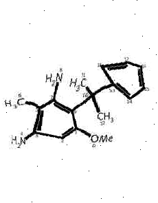 COc1cc(N)c(C)c(N)c1C(C)(C)c1ccccc1